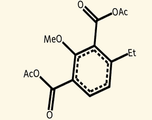 CCc1ccc(C(=O)OC(C)=O)c(OC)c1C(=O)OC(C)=O